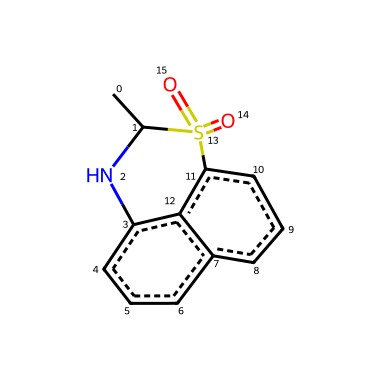 CC1Nc2cccc3cccc(c23)S1(=O)=O